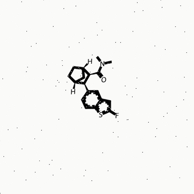 CN(C)C(=O)[C@@H]1[C@H]2CC[C@H](C2)[C@@H]1c1ccc2sc(F)cc2c1